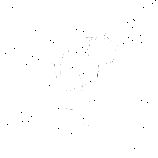 CC(C)O[Si](Cc1ccccc1)(OC(C)C)OC(C)(C)C